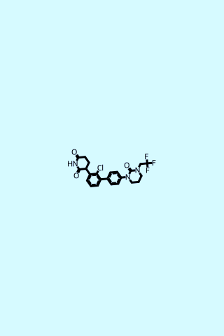 O=C1CCC(c2cccc(-c3ccc(N4CCCN(CC(F)(F)F)C4=O)cc3)c2Cl)C(=O)N1